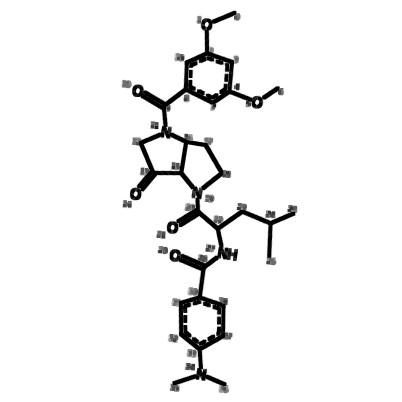 COc1cc(OC)cc(C(=O)N2CC(=O)C3C2CCN3C(=O)C(CC(C)C)NC(=O)c2ccc(N(C)C)cc2)c1